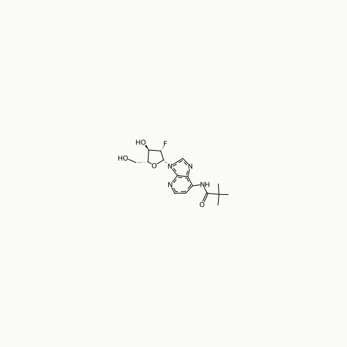 CC(C)(C)C(=O)Nc1ccnc2c1ncn2[C@@H]1O[C@H](CO)[C@@H](O)[C@@H]1F